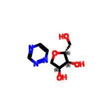 OC[C@H]1OC[C@H](O)[C@@H]1O.c1cnncn1